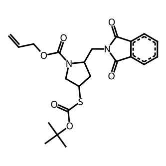 C=CCOC(=O)N1CC(SC(=O)OC(C)(C)C)CC1CN1C(=O)c2ccccc2C1=O